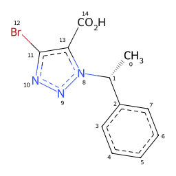 C[C@H](c1ccccc1)n1nnc(Br)c1C(=O)O